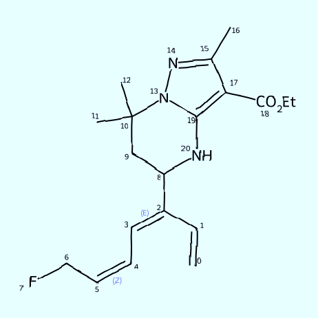 C=C/C(=C\C=C/CF)C1CC(C)(C)n2nc(C)c(C(=O)OCC)c2N1